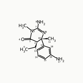 CC[C@H]1C(=O)N(C)C(N)=N[C@]1(C)c1cccc(N)c1